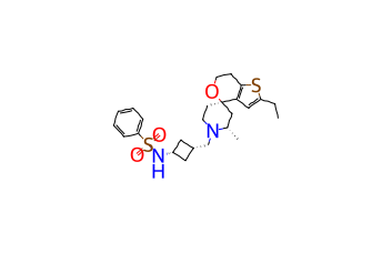 CCc1cc2c(s1)CCO[C@@]21CCN(C[C@H]2C[C@@H](NS(=O)(=O)c3ccccc3)C2)[C@@H](C)C1